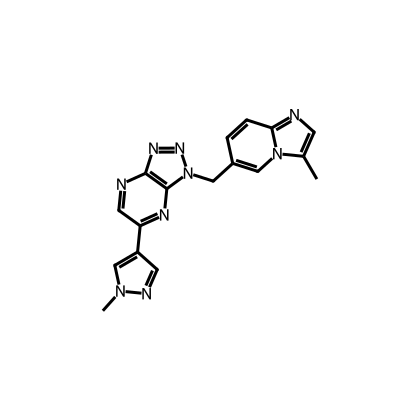 Cc1cnc2ccc(Cn3nnc4ncc(-c5cnn(C)c5)nc43)cn12